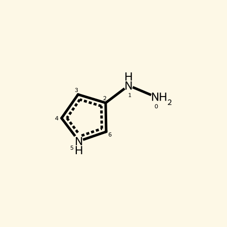 NNc1cc[nH]c1